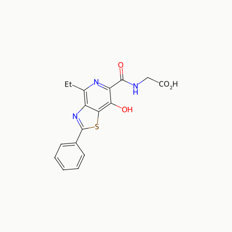 CCc1nc(C(=O)NCC(=O)O)c(O)c2sc(-c3ccccc3)nc12